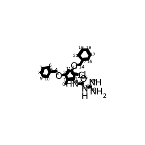 Cc1c(OCc2ccccc2)cc(OCc2ccccc2)c(Cl)c1NC(=O)NC(=N)N